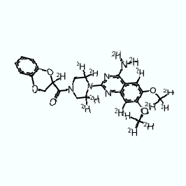 [2H]c1c(OC([2H])([2H])[2H])c(OC([2H])([2H])[2H])c([2H])c2c(N([2H])[2H])nc(N3C([2H])([2H])CN(C(=O)C4([2H])COc5ccccc5O4)CC3([2H])[2H])nc12